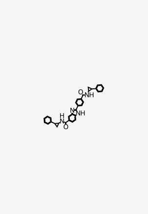 O=C(NC1CC1c1ccccc1)c1ccc(-c2nc3cc(C(=O)NC4CC4c4ccccc4)ccc3[nH]2)cc1